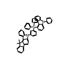 CC1(C)c2ccccc2-c2ccc3c(c21)c1ccccc1n3-c1cccc([Si](C2=C=C=CC=C2)(c2ccccc2)c2cccc3c2c2ccccc2n3-c2ccccc2)c1